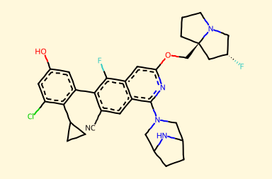 N#Cc1cc2c(N3CC4CCC(C3)N4)nc(OC[C@@]34CCCN3C[C@H](F)C4)cc2c(F)c1-c1cc(O)cc(Cl)c1C1CC1